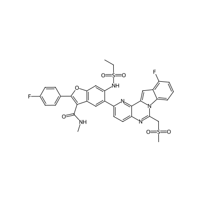 CCS(=O)(=O)Nc1cc2oc(-c3ccc(F)cc3)c(C(=O)NC)c2cc1-c1ccc2nc(CS(C)(=O)=O)n3c4cccc(F)c4cc3c2n1